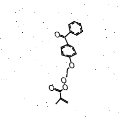 C=C(C)C(=O)OOCCOc1ccc(C(=O)c2ccccc2)cc1